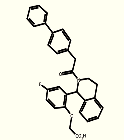 O=C(O)COc1ccc(F)cc1C1c2ccccc2CCN1C(=O)Cc1ccc(-c2ccccc2)cc1